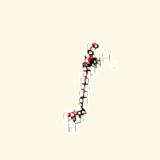 Nc1ncnc2c1c(-c1ccc(Oc3ccccc3)cc1)nn2[C@@H]1CCCN(C(=O)COCCOCCOCCOCCOCCSc2cccc3c2CN(C2CCC(=O)NC2=O)C3=O)C1